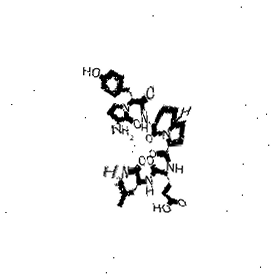 CC(C)C[C@@H](NC(=O)[C@@H](CCC(=O)O)NC(=O)[C@H]1CC[C@H]2CC[C@@H](NC(=O)[C@@H](Cc3ccc(O)cc3)N3CC[C@H](N)C3=O)C(=O)N21)C(N)=O